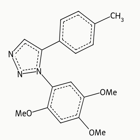 COc1cc(OC)c(-n2nncc2-c2ccc(C)cc2)cc1OC